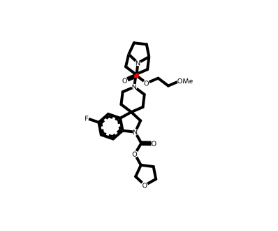 COCCOC(=O)N1C2CCC1CC(N1CCC3(CC1)CN(C(=O)OC1CCOC1)c1ccc(F)cc13)C2